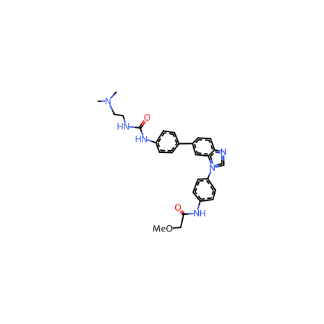 COCC(=O)Nc1ccc(-n2cnc3ccc(-c4ccc(NC(=O)NCCN(C)C)cc4)cc32)cc1